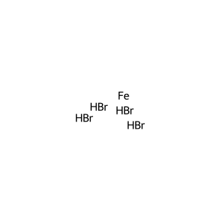 Br.Br.Br.Br.[Fe]